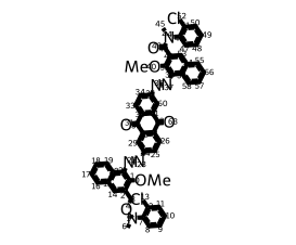 COc1c(CON(C)c2ccccc2Cl)cc2ccccc2c1N=Nc1ccc2c(c1)C(=O)c1ccc(N=Nc3c(OC)c(C(=O)N(C)c4ccccc4Cl)cc4ccccc34)cc1C2=O